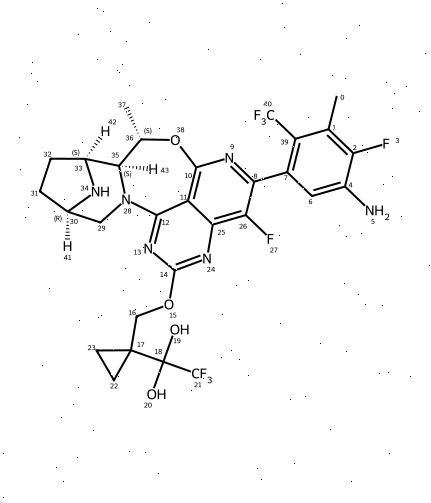 Cc1c(F)c(N)cc(-c2nc3c4c(nc(OCC5(C(O)(O)C(F)(F)F)CC5)nc4c2F)N2C[C@H]4CC[C@H](N4)[C@H]2[C@H](C)O3)c1C(F)(F)F